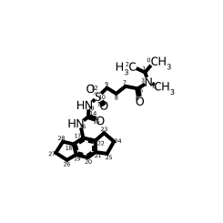 CC(C)N(C)C(=O)CCCS(=O)(=O)NC(=O)Nc1c2c(cc3c1CCC3)CCC2